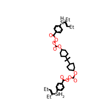 CCC=C(CC)[SiH2]c1ccc(C(=O)OOC(=O)OC2CCC(C(C)(C)C3CCC(OC(=O)OOC(=O)c4ccc([SiH2]C(=CCC)CC)cc4)CC3)CC2)cc1